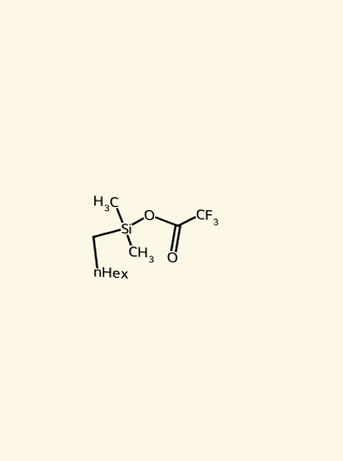 CCCCCCC[Si](C)(C)OC(=O)C(F)(F)F